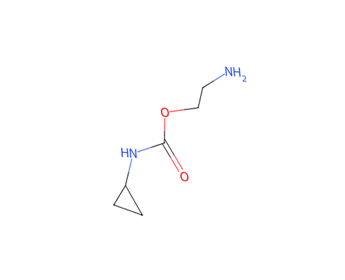 NCCOC(=O)NC1CC1